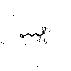 C=CC(C)=CCCBr